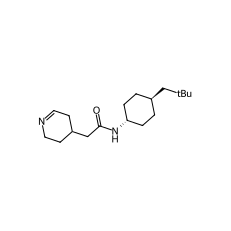 CC(C)(C)C[C@H]1CC[C@H](NC(=O)CC2CC=NCC2)CC1